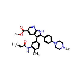 C=CC(=O)Nc1cc(-c2c(-c3ccc(N4CCN(C(C)=O)CC4)cc3)[nH]c3ncc(C(=O)OC(C)C)cc23)ccc1C